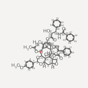 COc1ccc([C@@H]2O[C@H]3C[C@H]4OC[C@@]4(OC(C)=O)[C@H]4[C@H](OC(=O)c5ccccc5)[C@]5(O)C[C@H](OC(=O)[C@H](O)[C@@H](NC(=O)c6ccccc6)c6ccccc6)C(C)=C([C@H](OC(C)=O)[C@H](O2)[C@]34C)C5(C)C)cc1